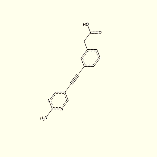 Nc1ncc(C#Cc2cccc(CC(=O)O)c2)cn1